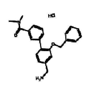 CN(C)C(=O)c1cccc(-c2ccc(CN)cc2OCc2ccccc2)c1.Cl